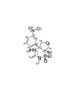 C=C1N[C@]2(c3cc([N+](=O)[O-])ccc3F)COC[C@@H]2S(=O)(=O)N1C